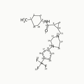 CC1CCC(NC(=O)C2CC2CN2CCN(c3ccc(C(F)(F)F)cc3)CC2)CC1